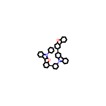 c1ccc(-n2c3ccccc3c3c4cccc(-c5cccc(-n6c7ccccc7c7cc(-c8ccc9oc%10ccccc%10c9c8)ccc76)c5)c4oc32)cc1